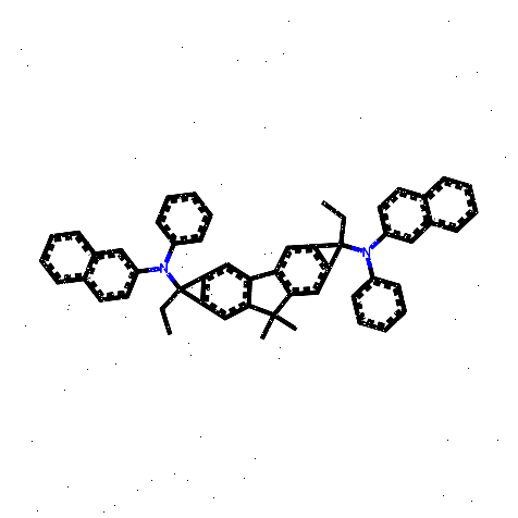 CCC1(N(c2ccccc2)c2ccc3ccccc3c2)c2cc3c(cc21)C(C)(C)c1cc2c(cc1-3)C2(CC)N(c1ccccc1)c1ccc2ccccc2c1